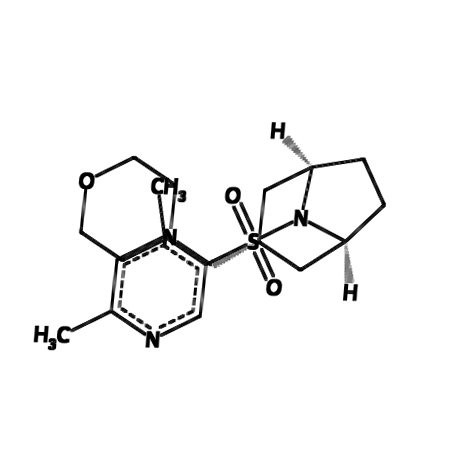 Cc1cc(C)c(S(=O)(=O)N2[C@@H]3CC[C@H]2C[C@H](CN2CCOCC2)C3)cn1